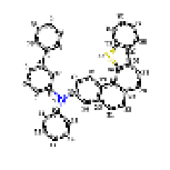 c1ccc(-c2cccc(N(c3ccccc3)c3ccc4c(ccc5ccc6c7ccccc7sc6c54)c3)c2)cc1